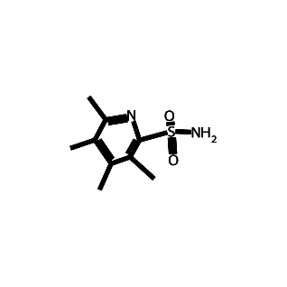 Cc1nc(S(N)(=O)=O)c(C)c(C)c1C